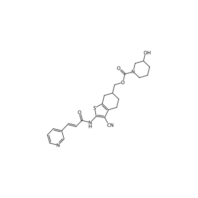 N#Cc1c(NC(=O)C=Cc2cccnc2)sc2c1CCC(COC(=O)N1CCCC(O)C1)C2